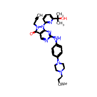 C#CCn1c(=O)c2cnc(Nc3ccc(N4CCN(CCOC)CC4)cc3)nc2n1-c1cccc(C(C)(C)O)n1